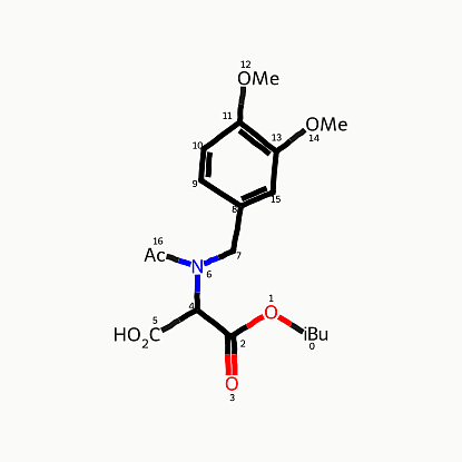 CCC(C)OC(=O)C(C(=O)O)N(Cc1ccc(OC)c(OC)c1)C(C)=O